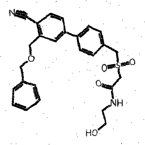 N#Cc1ccc(-c2ccc(CS(=O)(=O)CC(=O)NCCO)cc2)cc1COCc1ccccc1